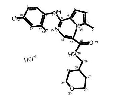 Cc1ccc2c(Nc3ccc(Cl)cc3F)ncc(C(=O)NCC3CCOCC3)n12.Cl